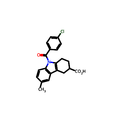 Cc1ccc2c(c1)c1c(n2C(=O)c2ccc(Cl)cc2)CCC(C(=O)O)C1